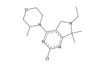 CCN1Cc2c(N3CCOCC3C)nc(Cl)nc2C1(C)C